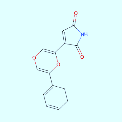 O=C1C=C(C2=COC=C(C3=CC=CCC3)O2)C(=O)N1